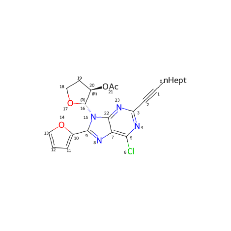 CCCCCCCC#Cc1nc(Cl)c2nc(-c3ccco3)n([C@@H]3OCC[C@H]3OC(C)=O)c2n1